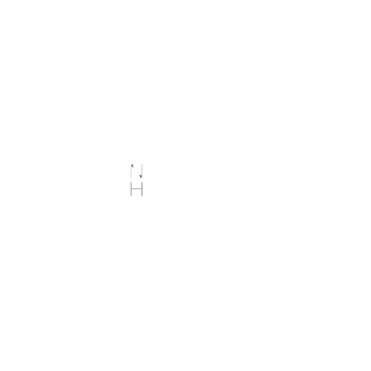 CCC(NC)C(C)C1CCCC1